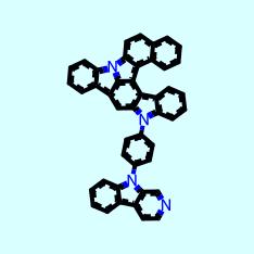 c1ccc2c(c1)ccc1c2c2c3c4ccccc4n(-c4ccc(-n5c6ccccc6c6ccncc65)cc4)c3cc3c4ccccc4n1c32